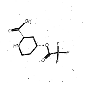 O=C(O)[C@@H]1C[C@H](OC(=O)C(F)(F)F)CCN1